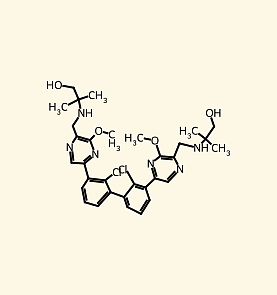 COc1nc(-c2cccc(-c3cccc(-c4cnc(CNC(C)(C)CO)c(OC)n4)c3Cl)c2Cl)cnc1CNC(C)(C)CO